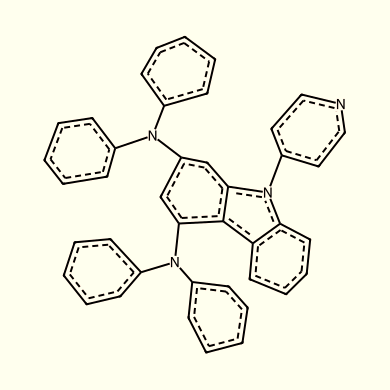 c1ccc(N(c2ccccc2)c2cc(N(c3ccccc3)c3ccccc3)c3c4ccccc4n(-c4ccncc4)c3c2)cc1